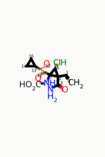 C=CC1(C(N)=O)CC1(NC(=O)O)S(=O)(=O)C1CC1.Cl